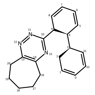 C1=CC[C@@H]([C@@H]2C=CC=CC2c2nnc3c(n2)CCCCC3)C=C1